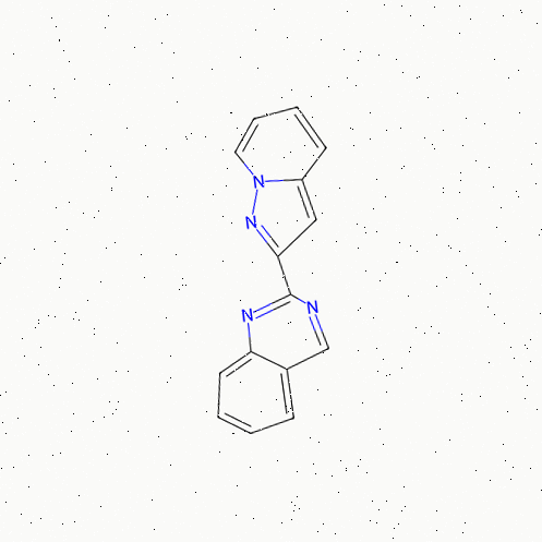 c1ccc2nc(-c3cc4ccccn4n3)ncc2c1